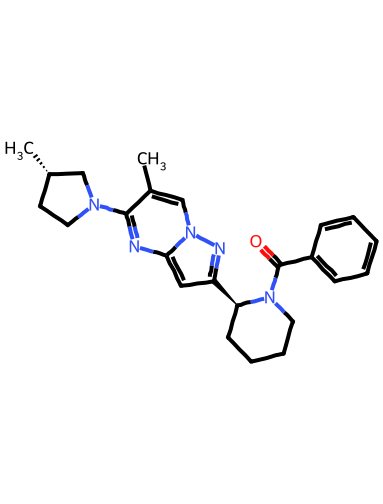 Cc1cn2nc([C@@H]3CCCCN3C(=O)c3ccccc3)cc2nc1N1CC[C@H](C)C1